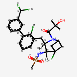 CC(C)(O)C(=O)N1C2CC(F)(C2)[C@H](NS(C)(=O)=O)[C@@H]1Cc1cccc(-c2cccc(C(F)F)c2)c1F